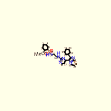 COc1ccccc1S(=O)(=O)NCCNc1nccc(-c2c(-c3ccccc3)nc3sccn23)n1